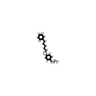 CC[CH]c1ccc(OCCCCCc2ccccc2)cc1